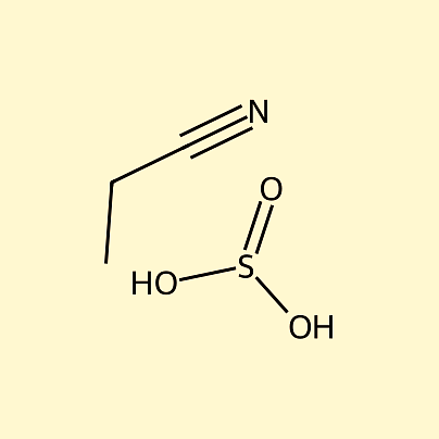 CCC#N.O=S(O)O